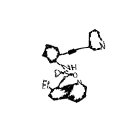 CCc1ccc2cccnc2c1S(=O)(=O)Nc1ccccc1C#Cc1cccnc1